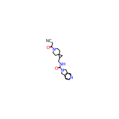 N#CCC(=O)N1CCC2(CC1)CC2CNC(=O)N1Cc2ccncc2C1